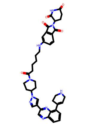 O=C1CCC(N2C(=O)c3ccc(NCCCCCC(=O)N4CCC(n5cc(-c6cnc7cccc(C8=CCNCC8)c7n6)cn5)CC4)cc3C2=O)C(=O)N1